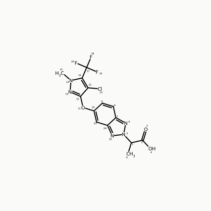 CC(C(=O)O)n1nc2ccc(Oc3nn(C)c(C(F)(F)F)c3Cl)cc2n1